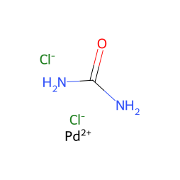 NC(N)=O.[Cl-].[Cl-].[Pd+2]